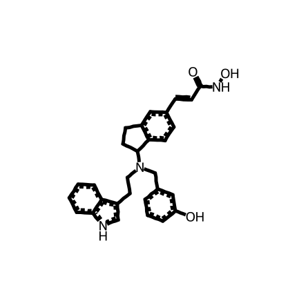 O=C(C=Cc1ccc2c(c1)CCC2N(CCc1c[nH]c2ccccc12)Cc1cccc(O)c1)NO